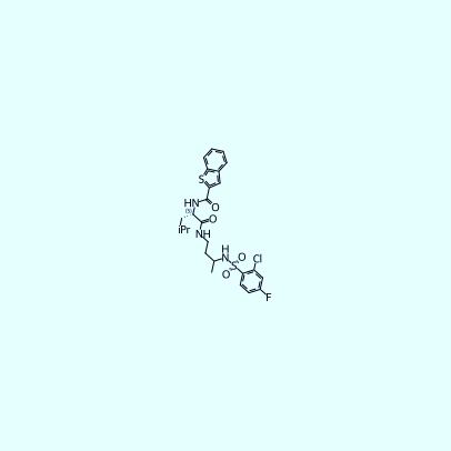 CC(C)C[C@H](NC(=O)c1cc2ccccc2s1)C(=O)NCCC(C)NS(=O)(=O)c1ccc(F)cc1Cl